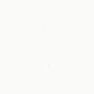 CCCOC(=O)CCCCCCC(=O)OCCC